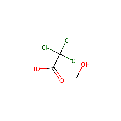 CO.O=C(O)C(Cl)(Cl)Cl